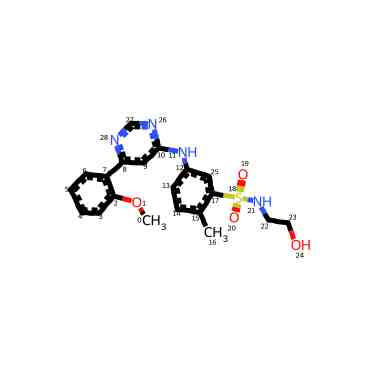 COc1ccccc1-c1cc(Nc2ccc(C)c(S(=O)(=O)NCCO)c2)ncn1